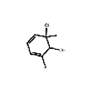 OC1C(F)=CC=CC1(O)I